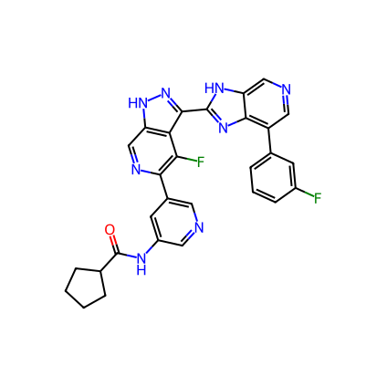 O=C(Nc1cncc(-c2ncc3[nH]nc(-c4nc5c(-c6cccc(F)c6)cncc5[nH]4)c3c2F)c1)C1CCCC1